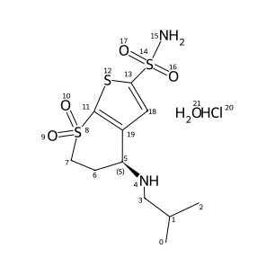 CC(C)CN[C@H]1CCS(=O)(=O)c2sc(S(N)(=O)=O)cc21.Cl.O